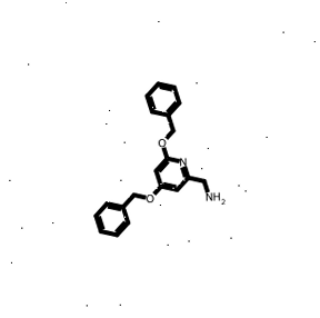 NCc1cc(OCc2ccccc2)cc(OCc2ccccc2)n1